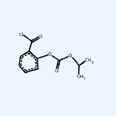 CC(C)OC(=O)Oc1ccccc1C(=O)Cl